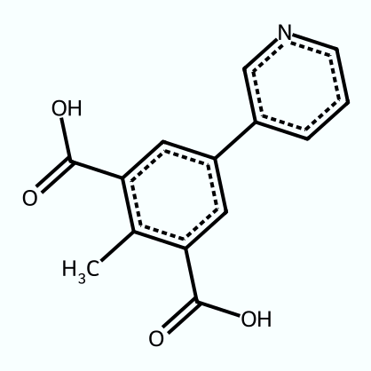 Cc1c(C(=O)O)cc(-c2cccnc2)cc1C(=O)O